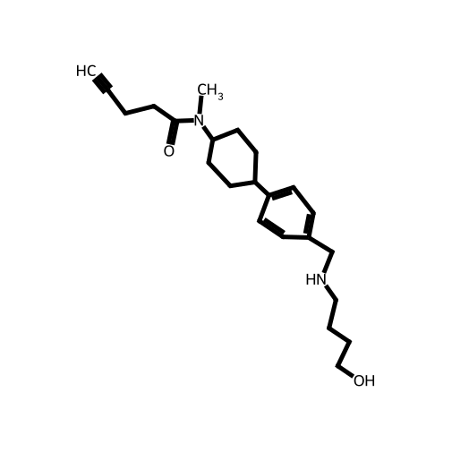 C#CCCC(=O)N(C)C1CCC(c2ccc(CNCCCCO)cc2)CC1